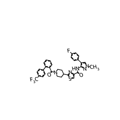 Cn1cc(-c2ccc(F)cc2)c(NC(=O)c2csc(C3CCN(C(=O)c4ccccc4-c4ccc(C(F)(F)F)cc4)CC3)n2)n1